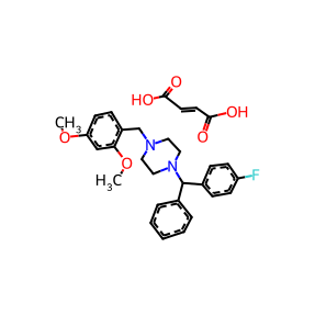 COc1ccc(CN2CCN(C(c3ccccc3)c3ccc(F)cc3)CC2)c(OC)c1.O=C(O)C=CC(=O)O